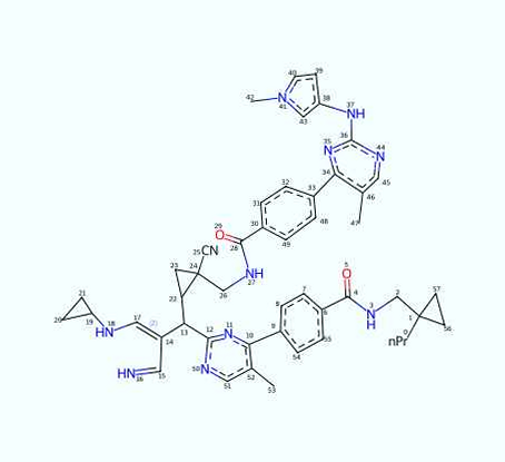 CCCC1(CNC(=O)c2ccc(-c3nc(C(/C(C=N)=C/NC4CC4)C4CC4(C#N)CNC(=O)c4ccc(-c5nc(Nc6ccn(C)c6)ncc5C)cc4)ncc3C)cc2)CC1